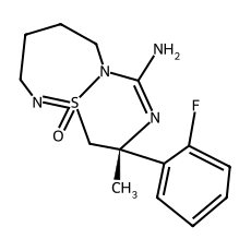 C[C@@]1(c2ccccc2F)CS2(=O)=NCCCCN2C(N)=N1